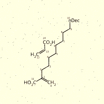 C=C(CCCCCCCCCCCCCCCCCC)C(=O)O.C=CC(=O)O